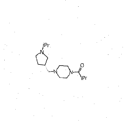 CC(C)C(=O)N1CCN(C[C@@H]2CCN(C(C)C)C2)CC1